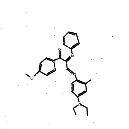 CCN(CC)c1ccc(N=CC(=Nc2ccccc2)C(=O)c2ccc(OC)cc2)c(C)c1